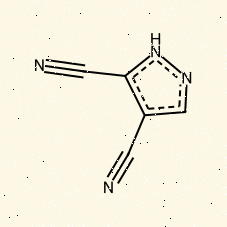 N#Cc1cn[nH]c1C#N